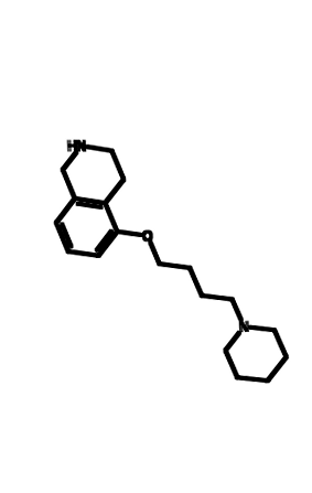 c1cc2c(c(OCCCCN3CCCCC3)c1)CCNC2